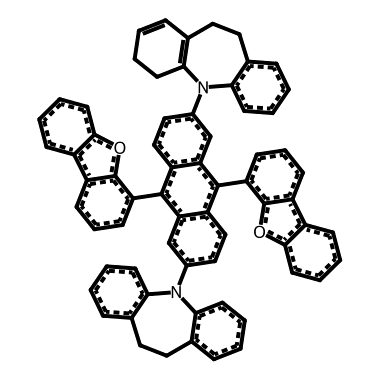 C1=CC2=C(CC1)N(c1ccc3c(-c4cccc5c4oc4ccccc45)c4cc(N5c6ccccc6CCc6ccccc65)ccc4c(-c4cccc5c4oc4ccccc45)c3c1)c1ccccc1CC2